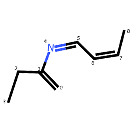 C=C(CC)/N=C\C=C/C